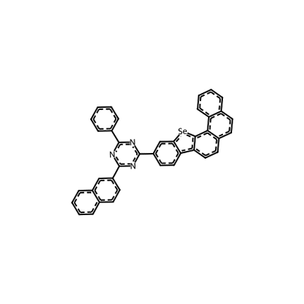 c1ccc(-c2nc(-c3ccc4ccccc4c3)nc(-c3ccc4c(c3)[se]c3c4ccc4ccc5ccccc5c43)n2)cc1